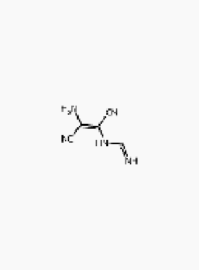 N#CC(N)=C(C#N)NC=N